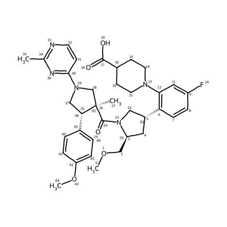 COC[C@@H]1C[C@@H](c2ccc(F)cc2N2CCC(C(=O)O)CC2)CN1C(=O)[C@]1(C)CN(c2ccnc(C)n2)C[C@H]1c1ccc(OC)cc1